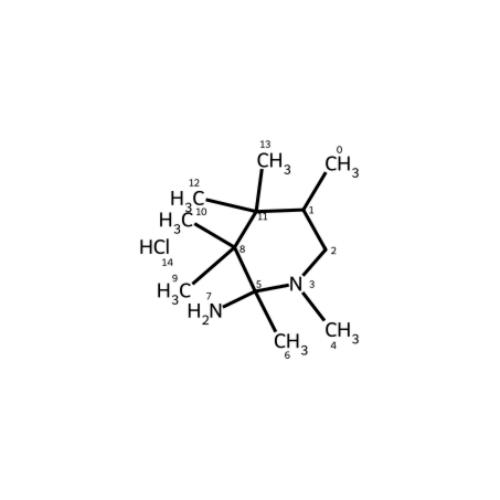 CC1CN(C)C(C)(N)C(C)(C)C1(C)C.Cl